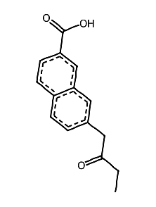 CCC(=O)Cc1ccc2ccc(C(=O)O)cc2c1